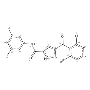 Cc1cc(NC(=O)c2cc(C(=O)c3c(F)cccc3Cl)c[nH]2)cc(C)n1